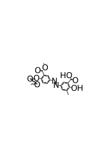 COC(=O)c1cc(N=Nc2cc(C)c(O)c(C(=O)O)c2)ccc1OS(C)(=O)=O